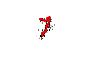 CC1CN(C(=O)c2cc3cc(NC(=O)c4cc5ccccc5[nH]4)ccc3[nH]2)c2cc(OC(=O)OCCSSCC(NC(=O)C(CC(=O)O)NC(CNC(=O)CCC(NC(=O)c3ccc(NCc4cnc5nc(N)[nH]c(=O)c5n4)cc3)C(=O)O)C(N)=O)C(=O)O)c3ccccc3c21